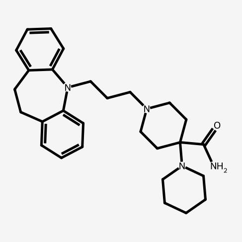 NC(=O)C1(N2CCCCC2)CCN(CCCN2c3ccccc3CCc3ccccc32)CC1